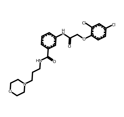 O=C(COc1ccc(Cl)cc1Cl)Nc1cccc(C(=O)NCCCN2CCOCC2)c1